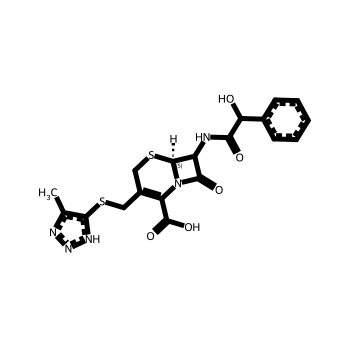 Cc1nn[nH]c1SCC1=C(C(=O)O)N2C(=O)C(NC(=O)C(O)c3ccccc3)[C@@H]2SC1